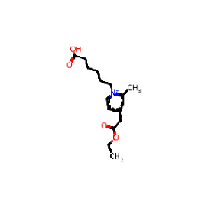 CCOC(=O)Cc1cc[n+](CCCCCC(=O)O)c(C)c1